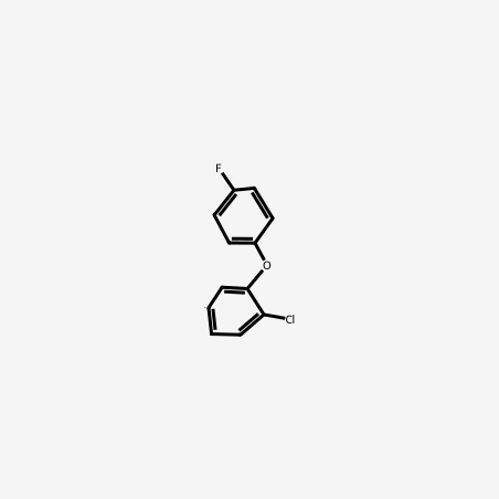 Fc1ccc(Oc2c[c]ccc2Cl)cc1